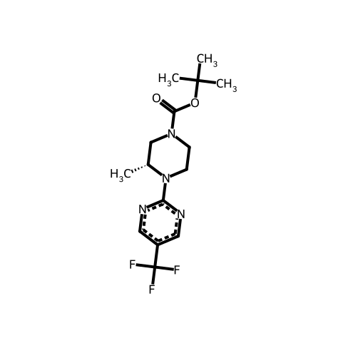 C[C@@H]1CN(C(=O)OC(C)(C)C)CCN1c1ncc(C(F)(F)F)cn1